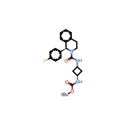 CC(C)(C)OC(=O)N[C@H]1C[C@@H](NC(=O)N2CCc3ccccc3[C@@H]2c2ccc(F)cc2)C1